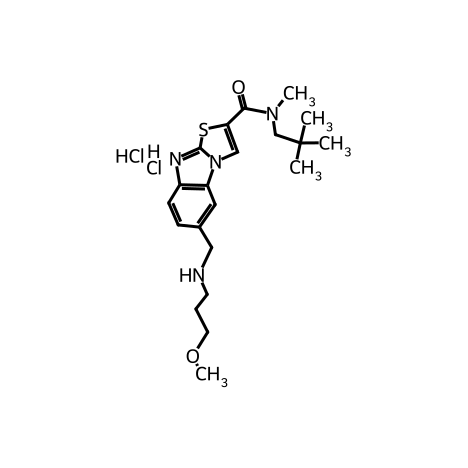 COCCCNCc1ccc2nc3sc(C(=O)N(C)CC(C)(C)C)cn3c2c1.Cl.Cl